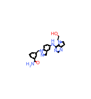 NC(=O)c1cccc(Cn2ncc3cc(Nc4ncnc5ccn(CCO)c45)ccc32)c1